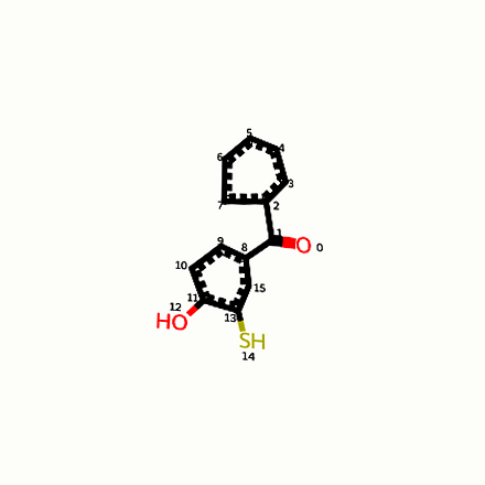 O=C(c1ccccc1)c1ccc(O)c(S)c1